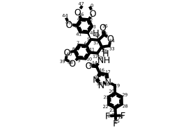 COc1cc([C@@H]2c3cc4c(cc3[C@@H](NC(=O)c3cn(Cc5ccc(C(F)(F)F)cc5)nn3)[C@H]3COC(=O)[C@H]23)OCO4)cc(OC)c1OC